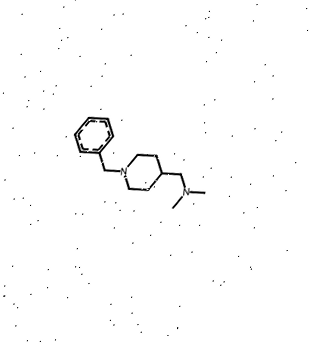 CN(C)CC1CCN(Cc2ccccc2)CC1